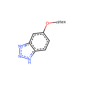 CCCCCCOc1ccc2[nH]nnc2c1